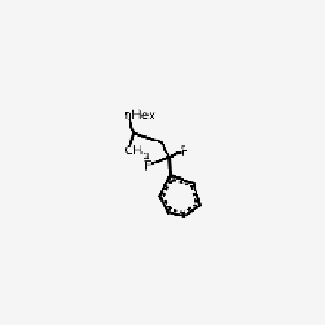 CCCCCCC(C)CC(F)(F)c1ccccc1